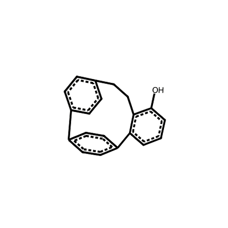 Oc1cccc2c1CCc1ccc(cc1)-c1ccc-2cc1